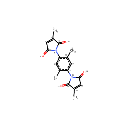 CCc1cc(N2C(=O)C=C(C)C2=O)c(C)cc1N1C(=O)C=C(C)C1=O